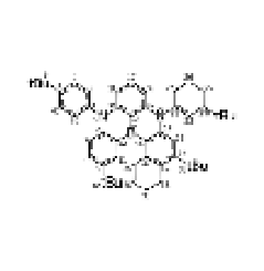 CC(C)(C)c1ccc(N2c3ccc(C(C)(C)C)cc3B3c4c(cccc42)N(C2=CC(C(C)(C)C)CCC2)c2cc(C(C)(C)C)c4c(c23)C=CCC4)cc1